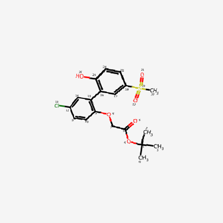 CC(C)(C)OC(=O)COc1ccc(Cl)cc1-c1cc(S(C)(=O)=O)ccc1O